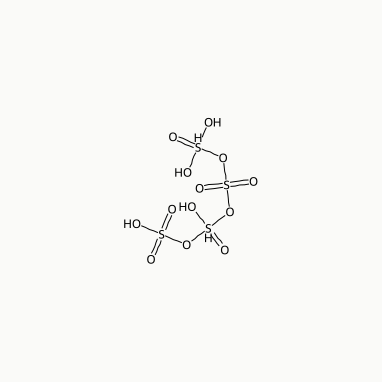 O=S(=O)(O)O[SH](=O)(O)OS(=O)(=O)O[SH](=O)(O)O